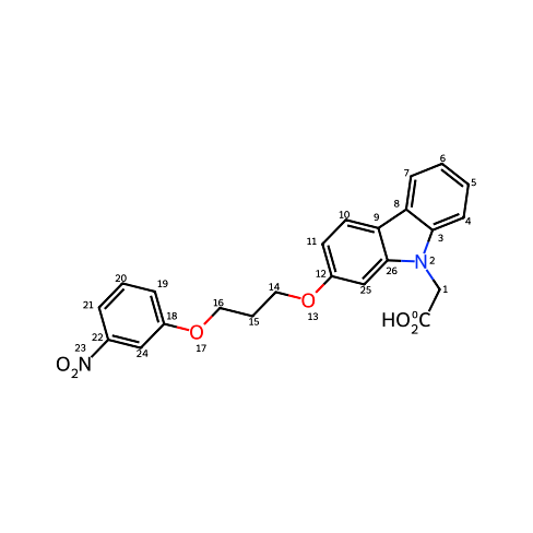 O=C(O)Cn1c2ccccc2c2ccc(OCCCOc3cccc([N+](=O)[O-])c3)cc21